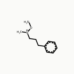 C[SiH](CCCc1ccccc1)O[SiH3]